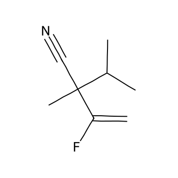 C=C(F)C(C)(C#N)C(C)C